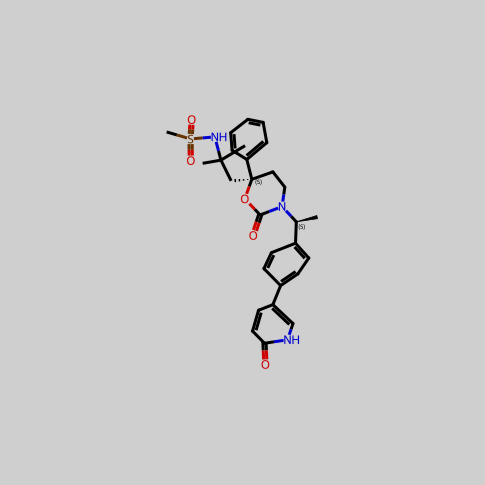 C[C@@H](c1ccc(-c2ccc(=O)[nH]c2)cc1)N1CC[C@](CC(C)(C)NS(C)(=O)=O)(c2ccccc2)OC1=O